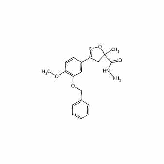 COc1ccc(C2=NOC(C)(C(=O)NN)C2)cc1OCc1ccccc1